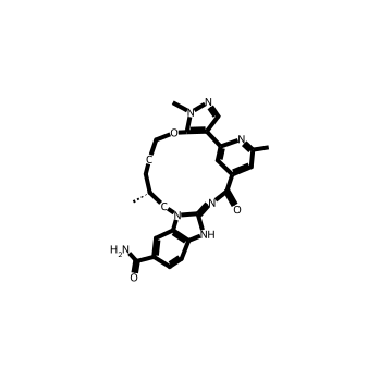 Cc1cc2cc(n1)-c1cnn(C)c1OCCC[C@@H](C)CN1/C(=N/C2=O)Nc2ccc(C(N)=O)cc21